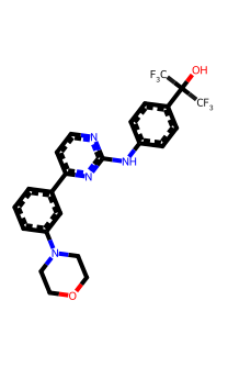 OC(c1ccc(Nc2nccc(-c3cccc(N4CCOCC4)c3)n2)cc1)(C(F)(F)F)C(F)(F)F